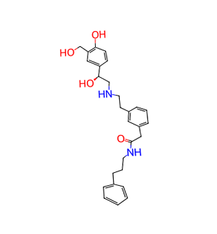 O=C(Cc1cccc(CCNC[C@@H](O)c2ccc(O)c(CO)c2)c1)NCCCc1ccccc1